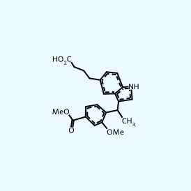 COC(=O)c1ccc(C(C)c2c[nH]c3ccc(CCCC(=O)O)cc23)c(OC)c1